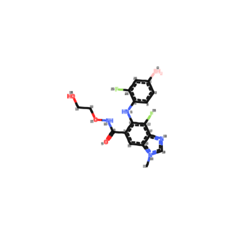 Bc1ccc(Nc2c(C(=O)NOCCO)cc3c(ncn3C)c2F)c(F)c1